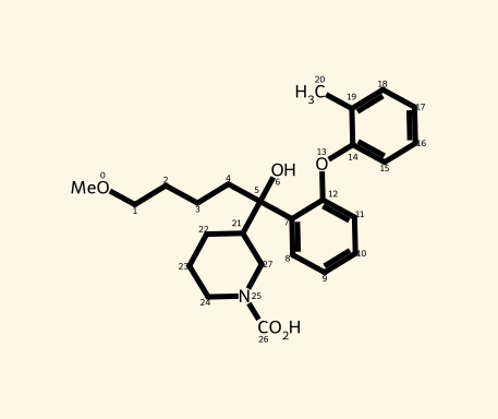 COCCCCC(O)(c1ccccc1Oc1ccccc1C)C1CCCN(C(=O)O)C1